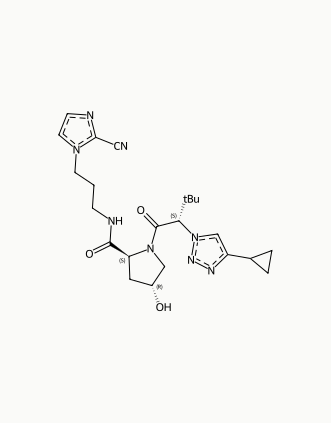 CC(C)(C)[C@@H](C(=O)N1C[C@H](O)C[C@H]1C(=O)NCCCn1ccnc1C#N)n1cc(C2CC2)nn1